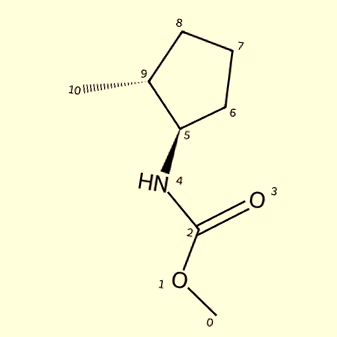 COC(=O)N[C@@H]1CCC[C@H]1C